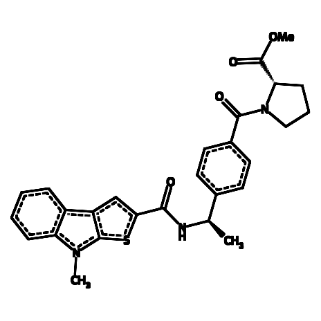 COC(=O)[C@@H]1CCCN1C(=O)c1ccc([C@@H](C)NC(=O)c2cc3c4ccccc4n(C)c3s2)cc1